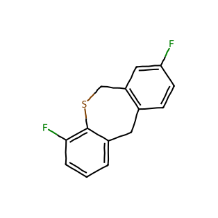 Fc1ccc2c(c1)CSc1c(F)cccc1C2